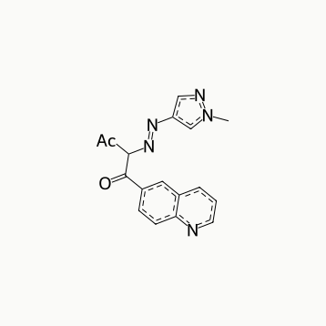 CC(=O)C(/N=N/c1cnn(C)c1)C(=O)c1ccc2ncccc2c1